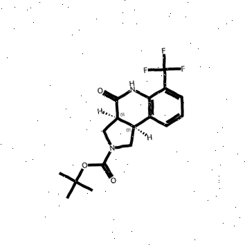 CC(C)(C)OC(=O)N1C[C@@H]2c3cccc(C(F)(F)F)c3NC(=O)[C@@H]2C1